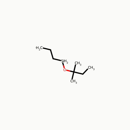 [CH2]CC[SiH2]OC(C)(C)CC